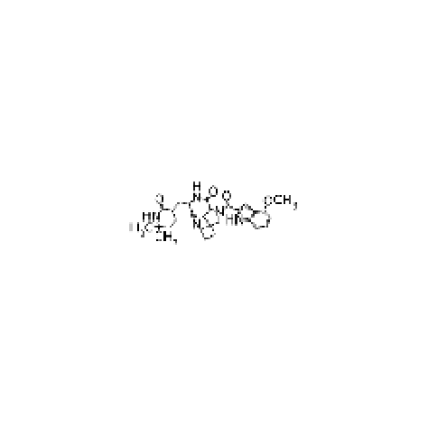 COc1cccc2[nH]c(C(=O)N3CC4(CCC4)CC3C(=O)NC(C#N)CC3CCC(C)(C)NC3=O)cc12